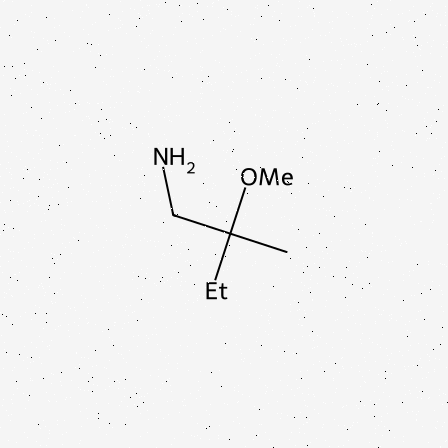 CCC(C)(CN)OC